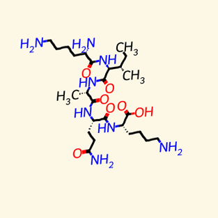 CC[C@H](C)[C@H](NC(=O)[C@@H](N)CCCCN)C(=O)N[C@@H](C)C(=O)N[C@@H](CCC(N)=O)C(=O)N[C@@H](CCCCN)C(=O)O